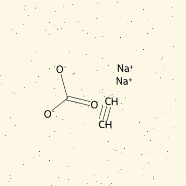 C#C.O=C([O-])[O-].[Na+].[Na+]